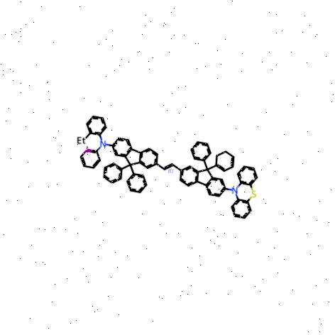 CCc1ccccc1N(C1=IC=CC=C1)c1ccc2c(c1)C(c1ccccc1)(c1ccccc1)c1cc(/C=C/c3ccc4c(c3)C(C3=CC=CCC3)(c3ccccc3)c3cc(N5c6ccccc6Sc6ccccc65)ccc3-4)ccc1-2